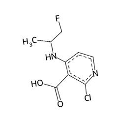 CC(CF)Nc1ccnc(Cl)c1C(=O)O